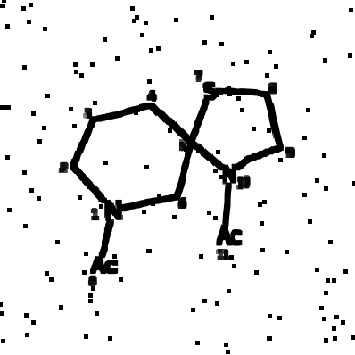 CC(=O)N1CCCC2(C1)SCCN2C(C)=O